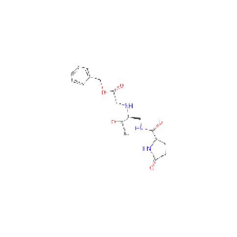 CCC(=O)[C@H](CNC(=O)C1CCC(=O)N1)NCC(=O)OCc1ccccc1